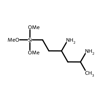 CO[Si](CCC(N)CC(C)N)(OC)OC